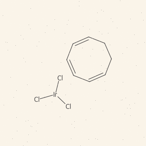 C1=CC=CCCC=C1.[Cl][Ir]([Cl])[Cl]